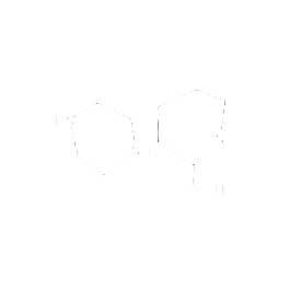 C1CNCCN1.O=C(O)C1CCCCN1